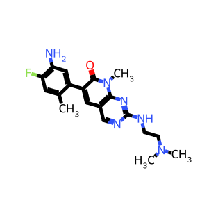 Cc1cc(F)c(N)cc1-c1cc2cnc(NCCN(C)C)nc2n(C)c1=O